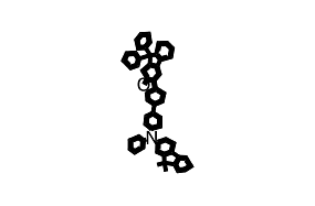 CC1(C)c2ccccc2-c2ccc(N(c3ccccc3)c3ccc(-c4ccc5c(c4)oc4cc6c(cc45)-c4ccccc4C6(c4ccccc4)c4ccccc4)cc3)cc21